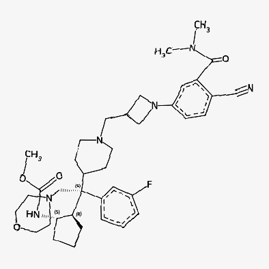 COC(=O)N[C@H]1CCC[C@@H]1[C@](CN1CCOCC1)(c1cccc(F)c1)C1CCN(CC2CN(c3ccc(C#N)c(C(=O)N(C)C)c3)C2)CC1